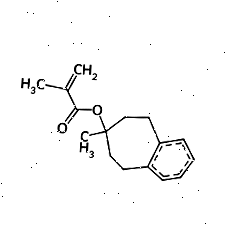 C=C(C)C(=O)OC1(C)CCc2ccccc2CC1